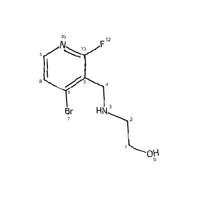 OCCNCc1c(Br)ccnc1F